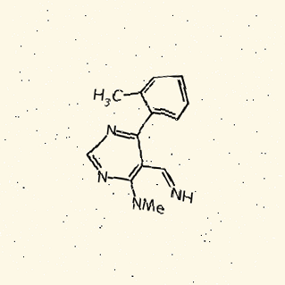 CNc1ncnc(-c2ccccc2C)c1C=N